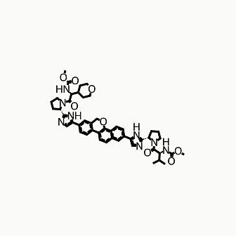 COC(=O)N[C@H](C(=O)N1CCC[C@H]1c1ncc(-c2ccc3c4c(ccc3c2)-c2ccc(-c3cnc([C@@H]5CCCN5C(=O)[C@@H](NC(=O)OC)C5CCOCC5)[nH]3)cc2CO4)[nH]1)C(C)C